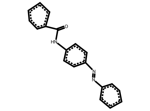 O=C(Nc1ccc(N=Nc2ccccc2)cc1)c1ccccc1